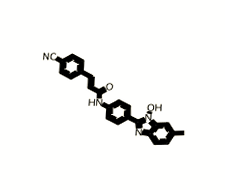 Cc1ccc2nc(-c3ccc(NC(=O)/C=C/c4ccc(C#N)cc4)cc3)n(O)c2c1